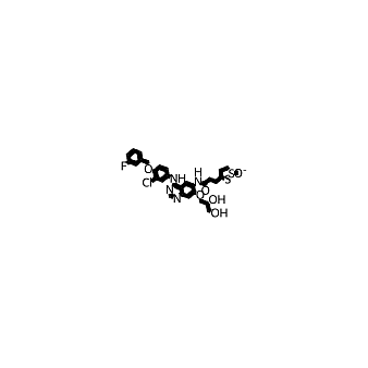 O=C(CCC1CC[S+]([O-])S1)Nc1cc2c(Nc3ccc(OCc4cccc(F)c4)c(Cl)c3)ncnc2cc1OCC(O)CO